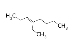 CC/C=C(\CC)CCCC